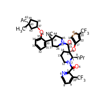 CCC[C@H]1N(C(=O)c2ncccc2C(F)(F)F)CCC[C@@]1(Oc1csc(C(F)(F)F)c1)C(=O)N1CCC(C#N)(c2ccccc2O[C@@H]2CC[C@@](C)(C(C)=O)C2)CC1